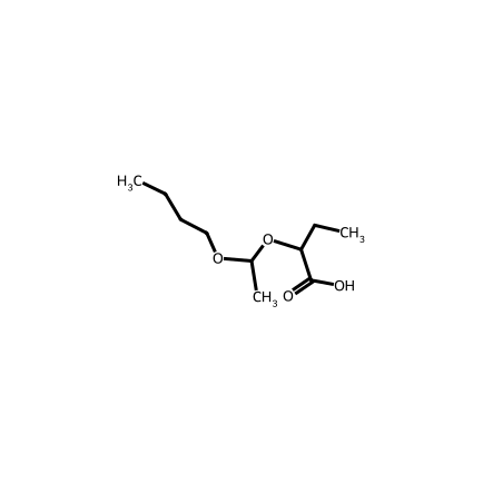 CCCCOC(C)OC(CC)C(=O)O